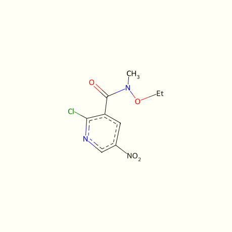 CCON(C)C(=O)c1cc([N+](=O)[O-])cnc1Cl